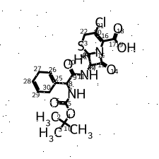 CC(C)(C)OC(=O)NC(C(=O)N[C@@H]1C(=O)N2C(C(=O)O)=C(Cl)CS[C@H]12)C1=CCC=CC1